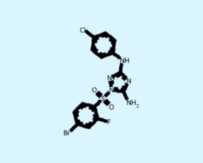 Nc1nc(Nc2ccc(Cl)cc2)nn1S(=O)(=O)c1ccc(Br)cc1F